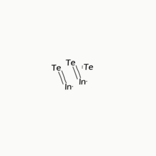 [In]=[Te].[In]=[Te].[Te]